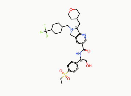 CCS(=O)(=O)c1ccc([C@H](CO)NC(=O)c2cnc3c(c2)CN(CC2CCC(C(F)(F)F)CC2)[C@H]3CC2CCOCC2)cc1